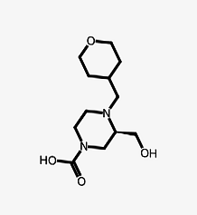 O=C(O)N1CCN(CC2CCOCC2)[C@@H](CO)C1